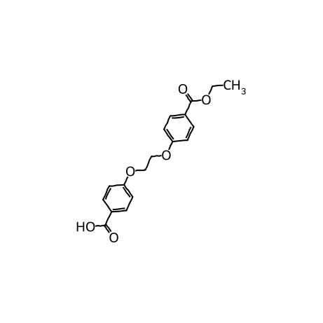 CCOC(=O)c1ccc(OCCOc2ccc(C(=O)O)cc2)cc1